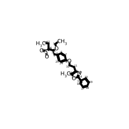 CCO[C@@H](Cc1ccc(OCCc2nc(-c3ccccc3)oc2C)cc1)C(CC)=S(=O)=O